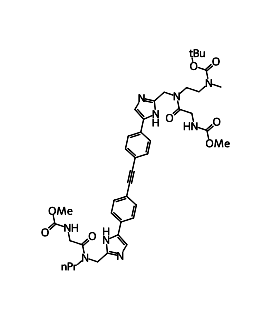 CCCN(Cc1ncc(-c2ccc(C#Cc3ccc(-c4cnc(CN(CCN(C)C(=O)OC(C)(C)C)C(=O)CNC(=O)OC)[nH]4)cc3)cc2)[nH]1)C(=O)CNC(=O)OC